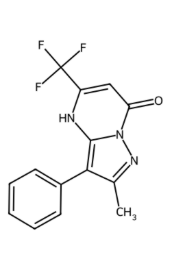 Cc1nn2c(=O)cc(C(F)(F)F)[nH]c2c1-c1ccccc1